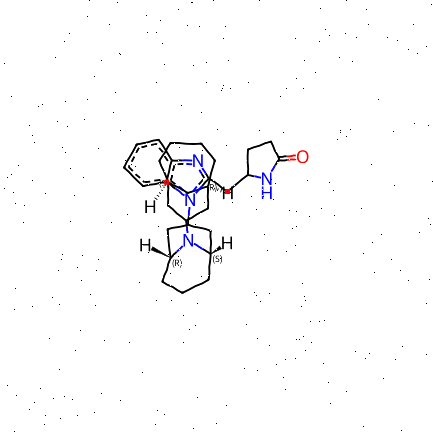 O=C1CCC(Cc2nc3ccccc3n2C2C[C@H]3CCC[C@@H](C2)N3C2C[C@H]3CCCC[C@@H](C2)C3)N1